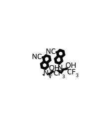 C[C@H]([C@@H](O)C(F)(F)F)N(C)c1ccc2c(C#N)cccc2c1.N#Cc1cccc2cc(N3CCC3[C@H](O)C(F)(F)F)ccc12